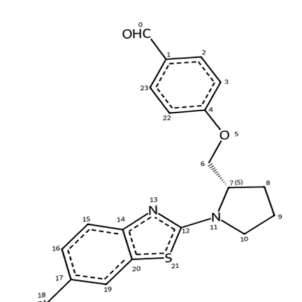 O=Cc1ccc(OC[C@@H]2CCCN2c2nc3ccc(Cl)cc3s2)cc1